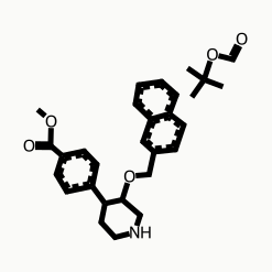 CC(C)(C)OC=O.COC(=O)c1ccc(C2CCNCC2OCc2ccc3ccccc3c2)cc1